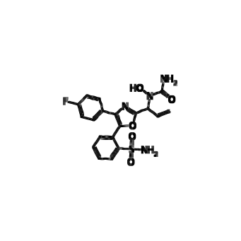 C=CC(c1nc(-c2ccc(F)cc2)c(-c2ccccc2S(N)(=O)=O)o1)N(O)C(N)=O